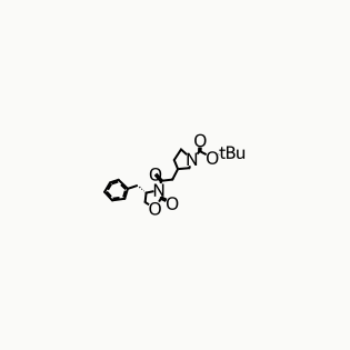 CC(C)(C)OC(=O)N1CCC(CC(=O)N2C(=O)OC[C@@H]2Cc2ccccc2)C1